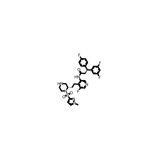 Cn1ccc(S(=O)(=O)N2CCNC[C@@H]2CCc2c(F)cncc2NC(=O)C[C@@H](c2ccc(F)cc2)c2cc(F)cc(F)c2)n1